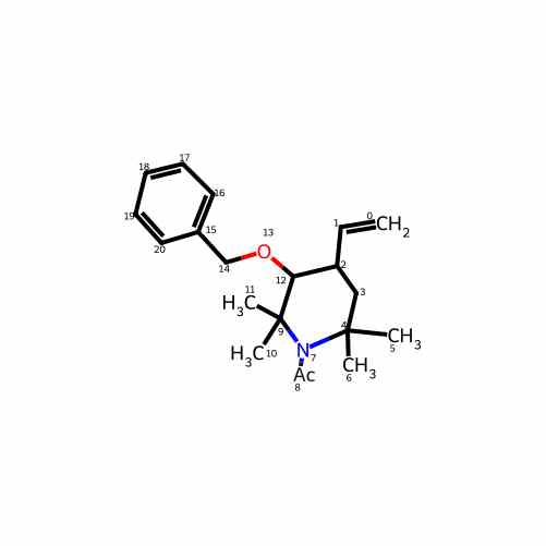 C=CC1CC(C)(C)N(C(C)=O)C(C)(C)C1OCc1ccccc1